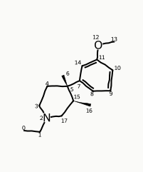 CCN1CC[C@](C)(c2cccc(OC)c2)[C@@H](C)C1